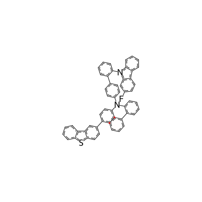 Fc1ccc2c3ccccc3n(-c3ccccc3-c3ccc(N(c4ccc(-c5ccc6sc7ccccc7c6c5)cc4)c4ccccc4-c4ccccc4)cc3)c2c1